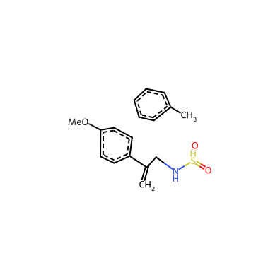 C=C(CN[SH](=O)=O)c1ccc(OC)cc1.Cc1ccccc1